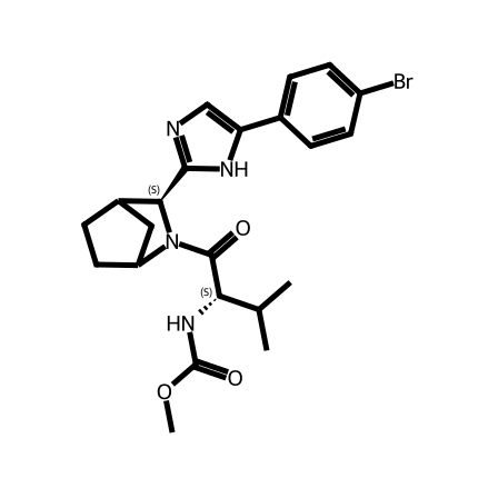 COC(=O)N[C@H](C(=O)N1C2CCC(C2)[C@H]1c1ncc(-c2ccc(Br)cc2)[nH]1)C(C)C